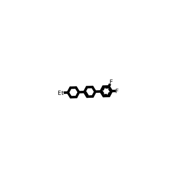 CCC1CCC(C2=CCC(c3ccc(F)c(F)c3)CC2)CC1